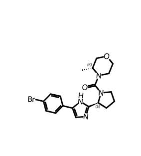 C[C@@H]1COCCN1C(=O)N1CCC[C@H]1c1ncc(-c2ccc(Br)cc2)[nH]1